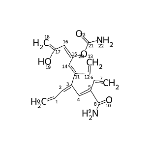 C=C/C=C(\C=C(/C=C)C(N)=O)C(/C=C)=C/C(=C\C(=C)O)OC(N)=O